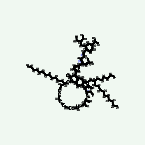 C=C1S/C(=C\C)c2c(=C)n(CC(CCCCCC)CCCCCCCCCC)c3cc4c(cc23)N(CC(CCCCCCCCCCCC)CCCCCCCCCCPC1C)C(=O)C=4c1ccc(/C(C=C(C)C)=C/C=C/c2ccc(C(C)C)cc2CC(CC)CC)s1